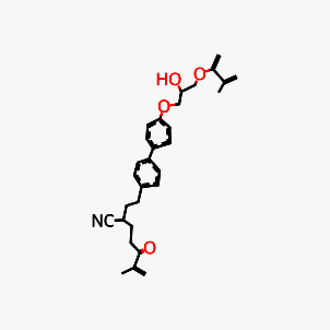 C=C(C)C(=C)OCC(O)COc1ccc(-c2ccc(CCC(C#N)CCC(=O)C(=C)C)cc2)cc1